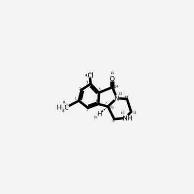 Cc1cc(Cl)c2c(c1)[C@@H]1CNCCN1C2=O